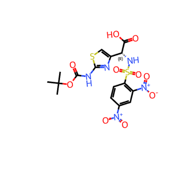 CC(C)(C)OC(=O)Nc1nc([C@@H](NS(=O)(=O)c2ccc([N+](=O)[O-])cc2[N+](=O)[O-])C(=O)O)cs1